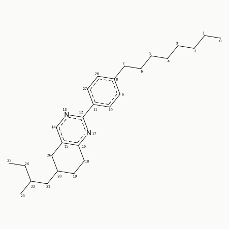 CCCCCCCCc1ccc(-c2ncc3c(n2)CCC(CC(C)CC)C3)cc1